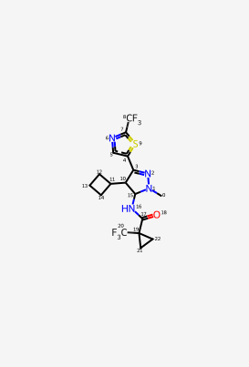 CN1N=C(c2cnc(C(F)(F)F)s2)C(C2CCC2)C1NC(=O)C1(C(F)(F)F)CC1